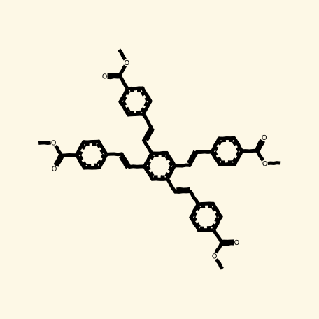 COC(=O)c1ccc(/C=C/c2cc(/C=C/c3ccc(C(=O)OC)cc3)c(/C=C/c3ccc(C(=O)OC)cc3)cc2/C=C/c2ccc(C(=O)OC)cc2)cc1